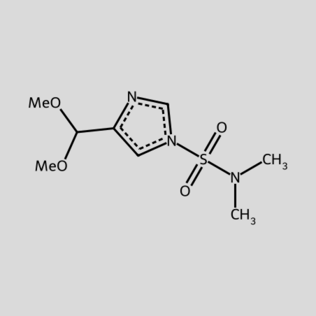 COC(OC)c1cn(S(=O)(=O)N(C)C)cn1